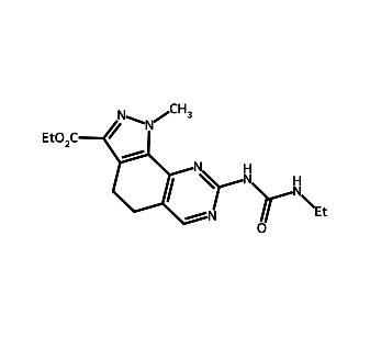 CCNC(=O)Nc1ncc2c(n1)-c1c(c(C(=O)OCC)nn1C)CC2